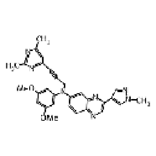 COc1cc(OC)cc(N(CC#Cc2cc(C)nc(C)n2)c2ccc3ncc(-c4cnn(C)c4)nc3c2)c1